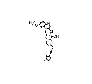 COc1ccc2ncc(Cl)c(CCCC3CCN(CC#Cc4ccc(F)s4)CC3C(=O)O)c2c1